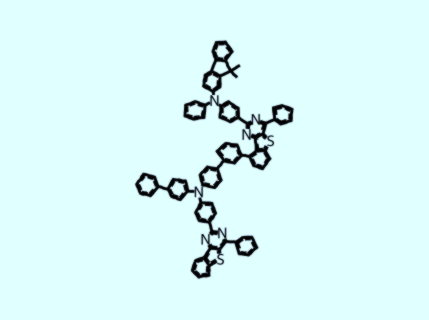 CC1(C)c2ccccc2-c2ccc(N(c3ccccc3)c3ccc(-c4nc(-c5ccccc5)c5sc6cccc(-c7cccc(-c8ccc(N(c9ccc(-c%10ccccc%10)cc9)c9ccc(-c%10nc(-c%11ccccc%11)c%11sc%12ccccc%12c%11n%10)cc9)cc8)c7)c6c5n4)cc3)cc21